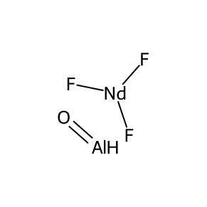 [F][Nd]([F])[F].[O]=[AlH]